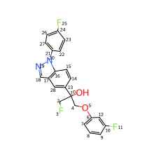 OC(CF)(COc1cccc(F)c1)c1ccc2c(cnn2-c2ccc(F)cc2)c1